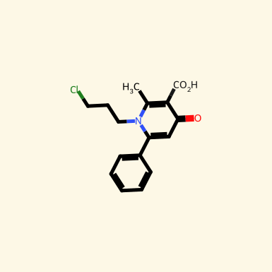 Cc1c(C(=O)O)c(=O)cc(-c2ccccc2)n1CCCCl